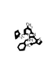 C#Cc1ccsc1-c1nc2cc(C)cc(C)n2c1NCC1CCCCC1.c1cc2cc-2c1